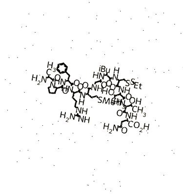 CCSSCC(NC(=O)C(NC(=O)CNC(=O)C(CCSC)NC(=O)C(CCCNC(=N)N)NC(=O)C(Cc1ccccc1)NC(=O)C1CCCN1C(=O)C(C)N)C(C)CC)C(=O)NC(C(=O)NC(C(=O)NC(CC(N)=O)C(=O)O)C(C)O)C(C)O